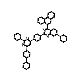 c1ccc(-c2ccc(-c3cc(-c4ccc(-c5nc(-c6cc7ccccc7c7ccccc67)c6ccc(-c7ccccc7)cc6n5)cc4)nc(-c4ccccc4)n3)cc2)cc1